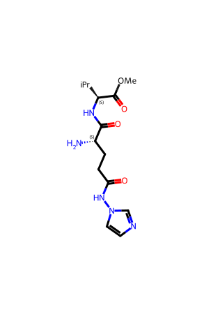 COC(=O)[C@@H](NC(=O)[C@@H](N)CCC(=O)Nn1ccnc1)C(C)C